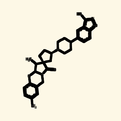 CC1C2Oc3ccc(C(F)(F)F)cc3CN2C(=O)[C@]12CC[C@@H](N1CCC(c3ccc4onc(O)c4c3)CC1)C2